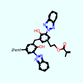 C=C(C)C(=O)OCCc1cc(Cc2cc(C(C)CCC)cc(-n3nc4ccccc4n3)c2O)c(O)c(-n2nc3ccccc3n2)c1